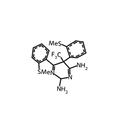 CSc1ccccc1C1=NC(N)N=C(N)C1(c1ccccc1SC)C(F)(F)F